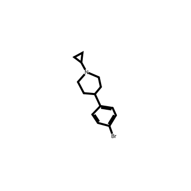 Brc1ccc(C2CCN(C3CC3)CC2)cc1